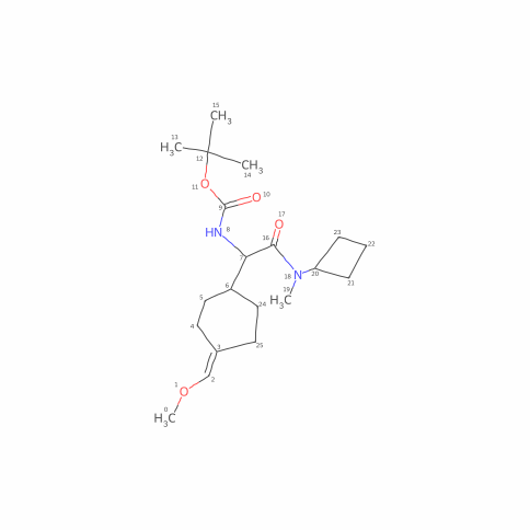 COC=C1CCC(C(NC(=O)OC(C)(C)C)C(=O)N(C)C2CCC2)CC1